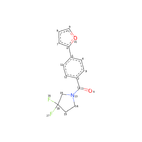 O=C(c1ccc(-c2ccco2)cc1)N1CCC(F)(F)C1